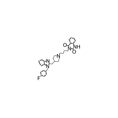 O=c1[nH]c2ccccc2c(=O)n1CCCCN1CCC(Cc2nc3ccccc3n2Cc2ccc(F)cc2)CC1